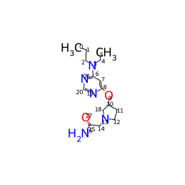 CCCN(CC)c1cc(OC2CCN(CC(N)=O)C2)ncn1